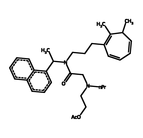 CCCN(CCOC(C)=O)CC(=O)N(CCCC1=C(C)C(C)C=CC=C1)C(C)c1cccc2ccccc12